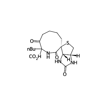 CCCCC1(C(=O)O)NC(=O)[C@@]2(CCCCC1=O)SC[C@@H]1NC(=O)N[C@@H]12